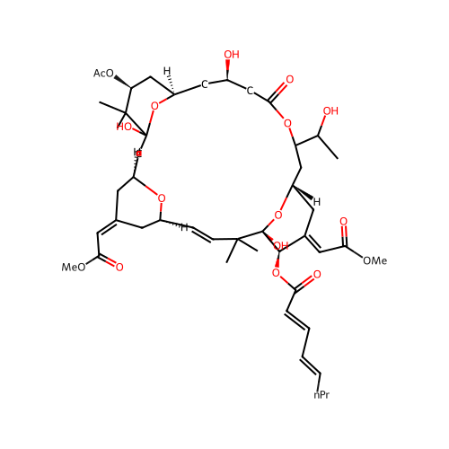 CCC/C=C/C=C/C(=O)O[C@@H]1/C(=C/C(=O)OC)C[C@H]2CC(C(C)O)OC(=O)C[C@H](O)C[C@@H]3C[C@H](OC(C)=O)C(C)(C)C(O)(C[C@@H]4C/C(=C/C(=O)OC)C[C@H](/C=C/C(C)(C)[C@]1(O)O2)O4)O3